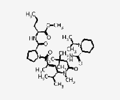 CCC[C@H](NC(=O)[C@@H]1CCCN1C(=O)/C(C)=C/[C@H](C(C)C)N(C)C(=O)[C@@H](NC(=O)[C@H]1CCCCN1C(C)C)C(C)(C)C)C(=O)OC